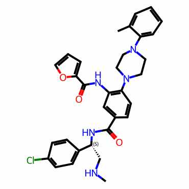 CNC[C@@H](NC(=O)c1ccc(N2CCN(c3ccccc3C)CC2)c(NC(=O)c2ccco2)c1)c1ccc(Cl)cc1